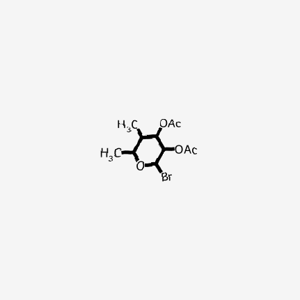 CC(=O)OC1C(Br)OC(C)C(C)C1OC(C)=O